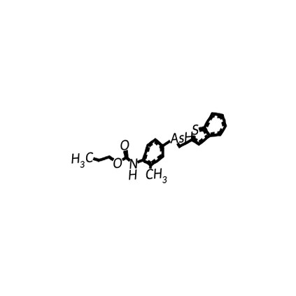 CCCOC(=O)Nc1ccc([AsH]Cc2cc3ccccc3s2)cc1C